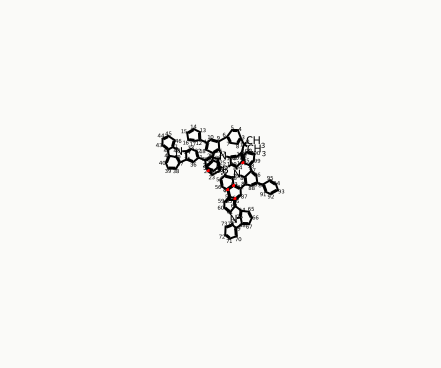 CC1(C)c2ccc(cc2)-c2cc(-c3ccccc3)cc(-c3ccccc3)c2N2c3cc(-c4ccc5c(c4)c4cccc6c7ccccc7n5c64)ccc3B3c4ccc(-c5ccc6c(c5)c5cccc7c8ccccc8n6c75)cc4N(c4c(-c5ccccc5)cc(-c5ccccc5)cc4-c4ccccc4)c4cc1cc2c43